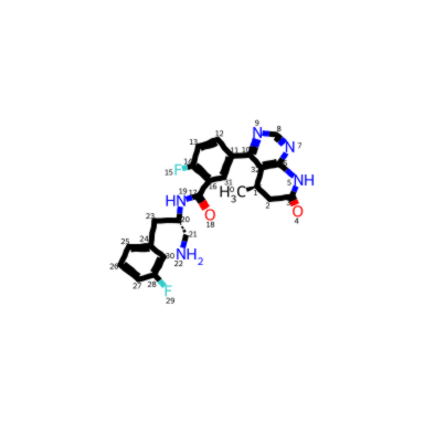 C[C@@H]1CC(=O)Nc2ncnc(-c3ccc(F)c(C(=O)N[C@H](CN)Cc4cccc(F)c4)c3)c21